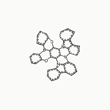 c1ccc2c(c1)Oc1c3c(c4c5c1-n1c6ccccc6c6cccc(c61)B5c1cccc5c6ccccc6n-4c15)Oc1ccccc1B23